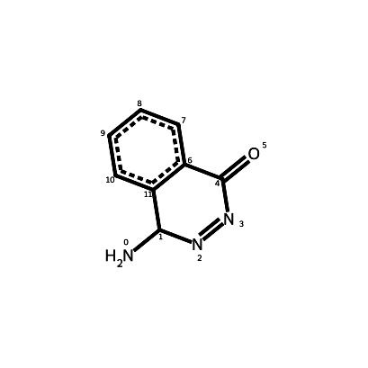 NC1N=NC(=O)c2ccccc21